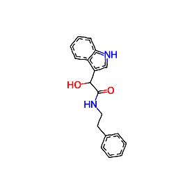 O=C(NCCc1ccccc1)C(O)c1c[nH]c2ccccc12